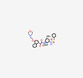 COc1c(NC(=O)C(=O)c2ccc(OCCN3CCOCC3)c3ccccc23)cc(C(C)(C)C)cc1NS(=O)(=O)Cc1ccccc1